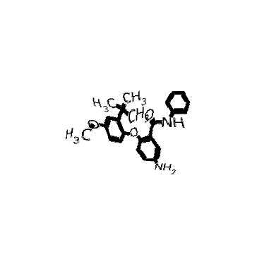 COc1ccc(Oc2ccc(N)cc2C(=O)Nc2ccccc2)c(C(C)(C)C)c1